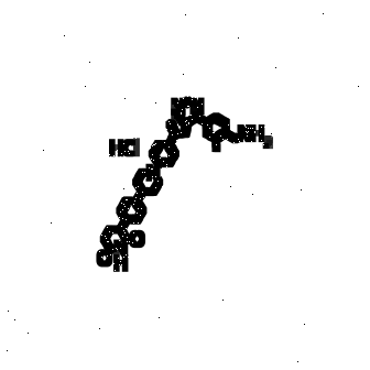 Cc1cc(-c2ncnn3cc(-c4ccc(N5CCC(c6ccc(C7CCC(=O)NC7=O)cc6)CC5)cc4)cc23)ccc1CN.Cl